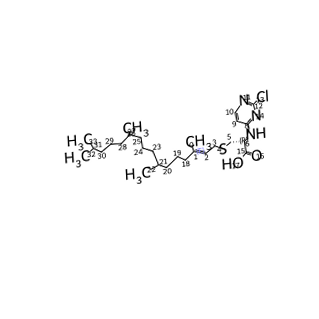 C/C(=C\CSC[C@H](Nc1ccnc(Cl)n1)C(=O)O)CCCC(C)CCCC(C)CCCC(C)C